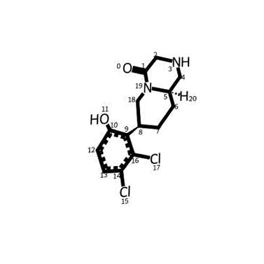 O=C1CNC[C@H]2CC[C@@H](c3c(O)ccc(Cl)c3Cl)CN12